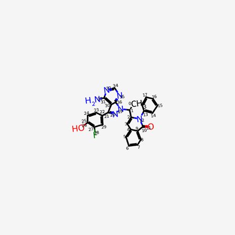 C[C@@H](c1cc2ccccc2c(=O)n1-c1ccccc1)n1nc(-c2ccc(O)c(F)c2)c2c(N)ncnc21